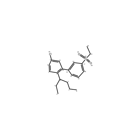 CCCC(CC)c1ccc(Cl)cc1-c1cccc(S(=O)(=O)CC)c1